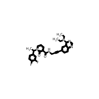 CCN(CC)c1ncnc2ccc(C#CCNC(=O)c3cccn(C(C)c4ccc(F)c(F)c4)c3=O)cc12